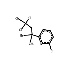 CC(Br)(CC(Cl)(Cl)Cl)c1cccc(Cl)n1